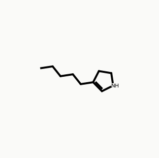 CCCCCC1=CNCC1